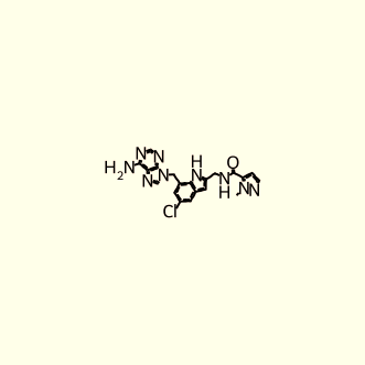 Cn1nccc1C(=O)NCc1cc2cc(Cl)cc(Cn3cnc4c(N)ncnc43)c2[nH]1